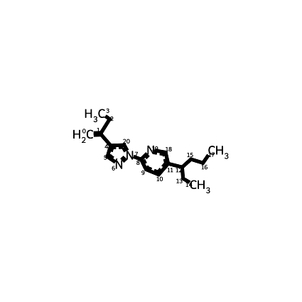 C=C(CC)c1cnn(-c2ccc(C(CC)CCC)cn2)c1